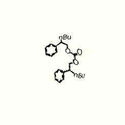 CCCCC(COC(=O)OCC(CCCC)c1ccccc1)c1ccccc1